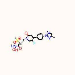 Cc1cnn(-c2ccc(-c3cc(=O)n(CC[C@H](C(=O)NO)S(C)(=O)=O)cc3F)cc2)n1